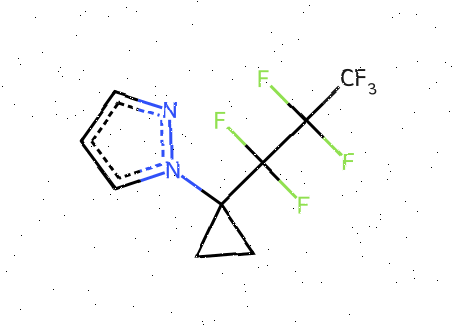 FC(F)(F)C(F)(F)C(F)(F)C1(n2cccn2)CC1